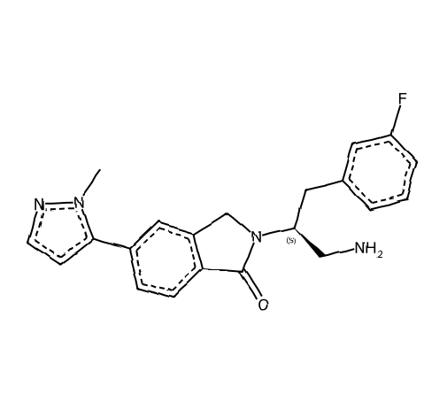 Cn1nccc1-c1ccc2c(c1)CN([C@H](CN)Cc1cccc(F)c1)C2=O